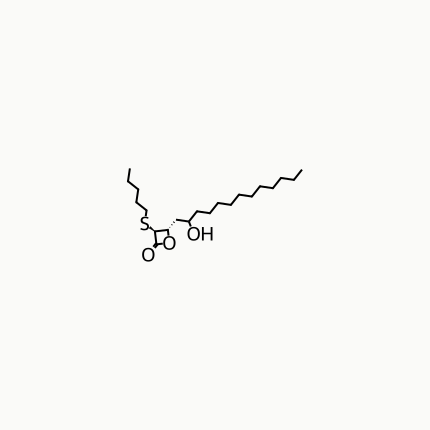 CCCCCCCCCCCC(O)C[C@@H]1OC(=O)[C@H]1SCCCCC